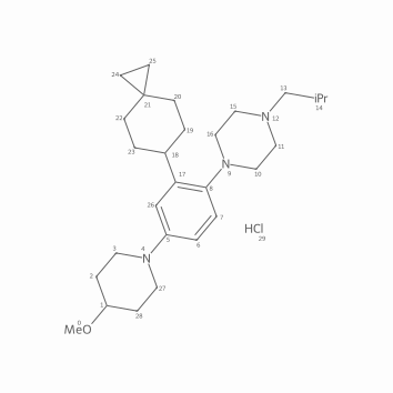 COC1CCN(c2ccc(N3CCN(CC(C)C)CC3)c(C3CCC4(CC3)CC4)c2)CC1.Cl